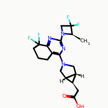 C[C@H]1N(c2nc(N3C[C@@H]4[C@@H](CC(=O)O)[C@@H]4C3)c3c(n2)C(F)(F)CCC3)CC1(F)F